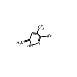 C=C1C=C(C(F)(F)F)C(C(C)C)=NN1